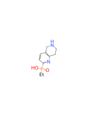 CCP(=O)(O)c1ccc2c(n1)CCNC2